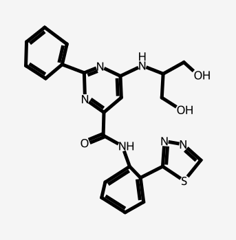 O=C(Nc1ccccc1-c1nncs1)c1cc(NC(CO)CO)nc(-c2ccccc2)n1